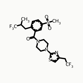 CC(Cc1ccc(S(C)(=O)=O)cc1C(=O)N1CCN(c2nc(CC(F)(F)F)cs2)CC1)C(F)(F)F